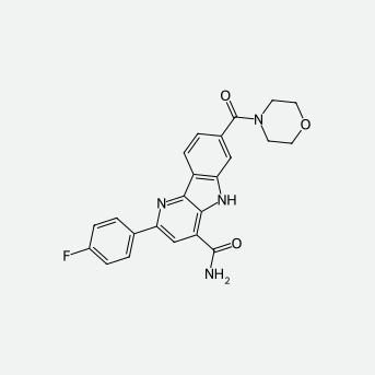 NC(=O)c1cc(-c2ccc(F)cc2)nc2c1[nH]c1cc(C(=O)N3CCOCC3)ccc12